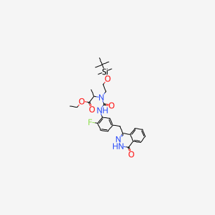 CCOC(=O)C(C)N(CCO[Si](C)(C)C(C)(C)C)C(=O)Nc1cc(Cc2n[nH]c(=O)c3ccccc23)ccc1F